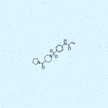 C=CC(=O)Nc1ccc(S(=O)(=O)N2CCC(C(=O)N3CCCC3)CC2)cc1